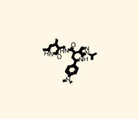 CC1CC(C)C(CNC(=O)C2CC(c3ccc(N(C)C)cc3)Nc3c2cnn3C(C)C)C(=O)N1